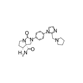 NC(=O)[C@]12[CH]CCN1C(=O)N(c1ccc(-n3ccnc3CN3CCCC3)cc1)C2